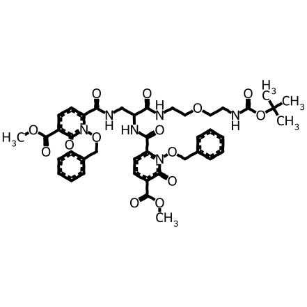 COC(=O)c1ccc(C(=O)NCC(NC(=O)c2ccc(C(=O)OC)c(=O)n2OCc2ccccc2)C(=O)NCCOCCNC(=O)OC(C)(C)C)n(OCc2ccccc2)c1=O